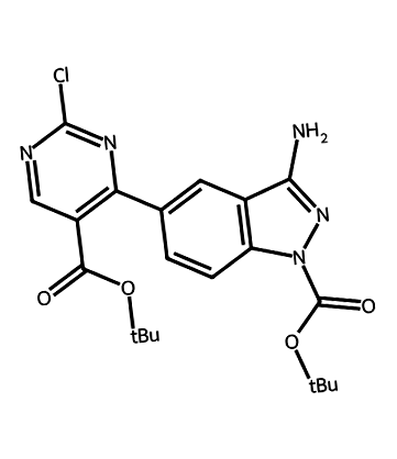 CC(C)(C)OC(=O)c1cnc(Cl)nc1-c1ccc2c(c1)c(N)nn2C(=O)OC(C)(C)C